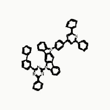 c1ccc(-c2cccc(-c3nc(-c4ccccc4)nc(-n4c5ccccc5c5cc6c(cc54)c4ccccc4n6-c4ccc(-c5cc(-c6ccccc6)nc(-c6ccccc6)c5)cc4)n3)c2)cc1